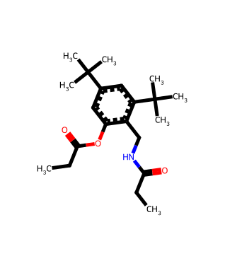 CCC(=O)NCc1c(OC(=O)CC)cc(C(C)(C)C)cc1C(C)(C)C